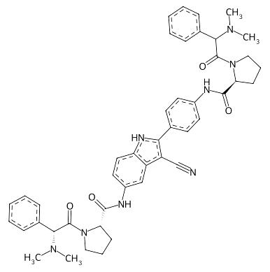 CN(C)C(C(=O)N1CCC[C@H]1C(=O)Nc1ccc(-c2[nH]c3ccc(NC(=O)[C@@H]4CCCN4C(=O)[C@@H](c4ccccc4)N(C)C)cc3c2C#N)cc1)c1ccccc1